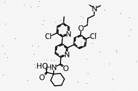 Cc1cnc(-c2ccc(C(=O)NC3(C(=O)O)CCCCC3)nc2-c2ccc(Cl)c(OCCCN(C)C)c2)c(Cl)c1